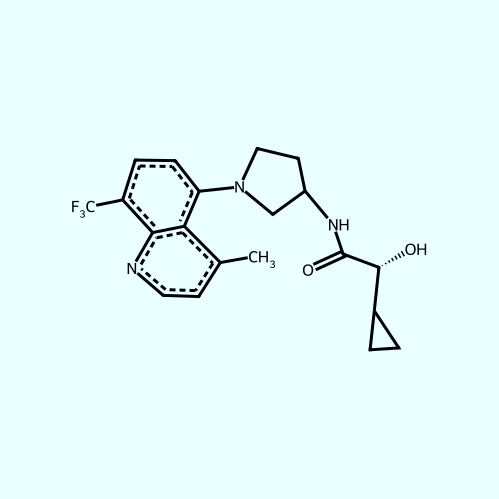 Cc1ccnc2c(C(F)(F)F)ccc(N3CCC(NC(=O)[C@H](O)C4CC4)C3)c12